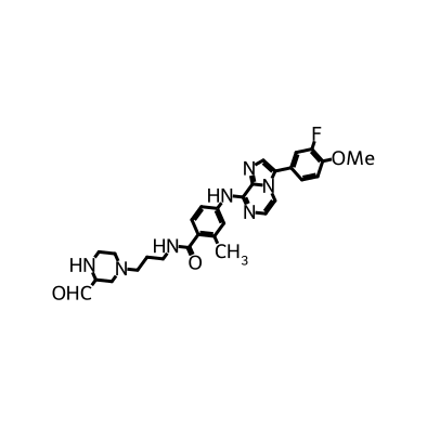 COc1ccc(-c2cnc3c(Nc4ccc(C(=O)NCCCN5CCNC(C=O)C5)c(C)c4)nccn23)cc1F